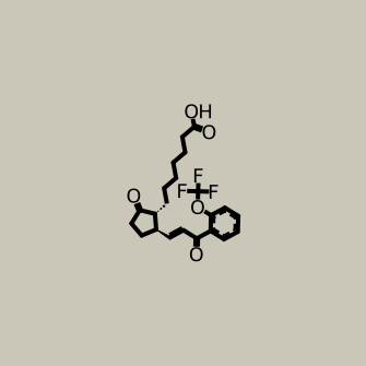 O=C(O)CCCCCC[C@H]1C(=O)CC[C@@H]1C=CC(=O)c1ccccc1OC(F)(F)F